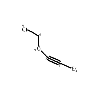 CCC#CO[CH]Cl